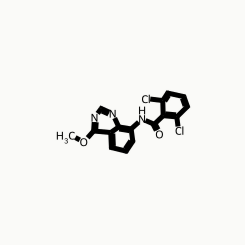 COc1ncnc2c(NC(=O)c3c(Cl)cccc3Cl)cccc12